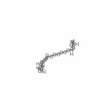 CC(=O)c1c(C)c2cnc(Nc3ccc(N4CCN(C(=O)CCOCCOCCOCCOCCOCCOCCNc5cccc(C(=O)Nc6nc(C)c(C)s6)c5C)CC4)cn3)nc2n(C2CCCC2)c1=O